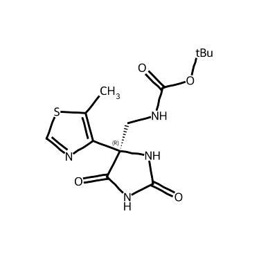 Cc1scnc1[C@@]1(CNC(=O)OC(C)(C)C)NC(=O)NC1=O